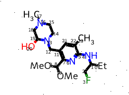 CCC(CF)Nc1nc(C(OC)OC)c(CN2CCN(C)CC2O)cc1C